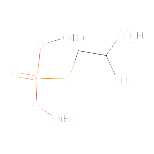 CC(C)COOP(=S)(OOCC(C)C)SCC(C)C(=O)O